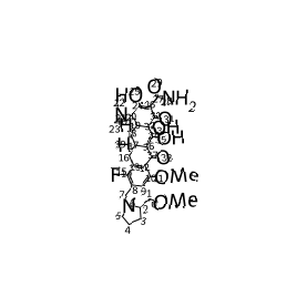 COC[C@H]1CCCN1Cc1cc(OC)c2c(c1F)C[C@H]1C[C@H]3[C@H](N(C)C)C(O)=C(C(N)=O)C(=O)[C@@]3(O)C(O)=C1C2=O